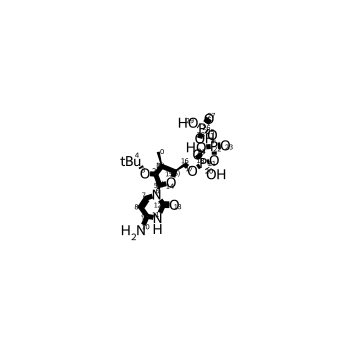 C[C@@H]1C(OC(C)(C)C)[C@H](N2C=CC(N)NC2=O)O[C@@H]1COP(=O)(O)OP(=O)(O)OP(=O)(O)O